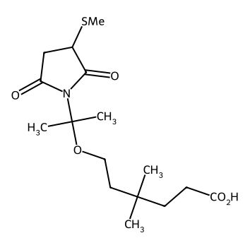 CSC1CC(=O)N(C(C)(C)OCCC(C)(C)CCC(=O)O)C1=O